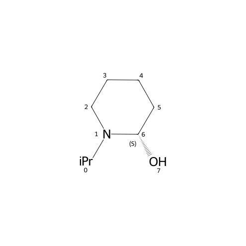 CC(C)N1CCCC[C@@H]1O